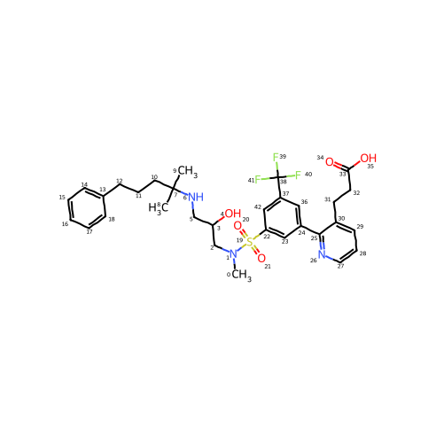 CN(CC(O)CNC(C)(C)CCCc1ccccc1)S(=O)(=O)c1cc(-c2ncccc2CCC(=O)O)cc(C(F)(F)F)c1